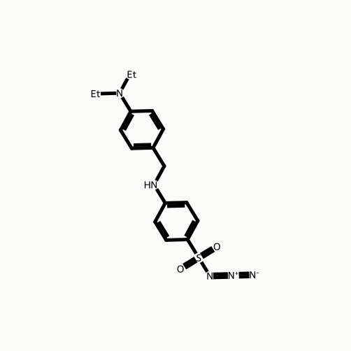 CCN(CC)c1ccc(CNc2ccc(S(=O)(=O)N=[N+]=[N-])cc2)cc1